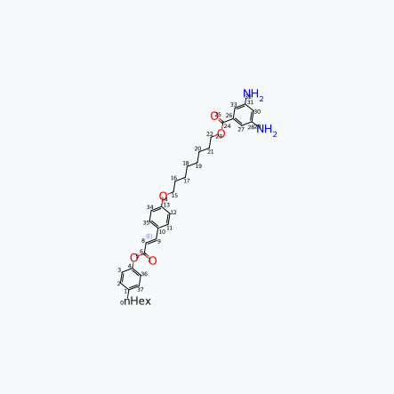 CCCCCCc1ccc(OC(=O)/C=C/c2ccc(OCCCCCCCCOC(=O)c3cc(N)cc(N)c3)cc2)cc1